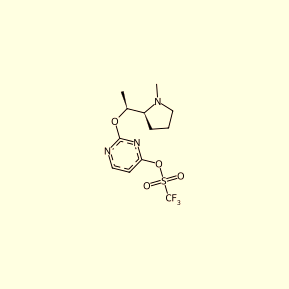 C[C@H](Oc1nccc(OS(=O)(=O)C(F)(F)F)n1)[C@@H]1CCCN1C